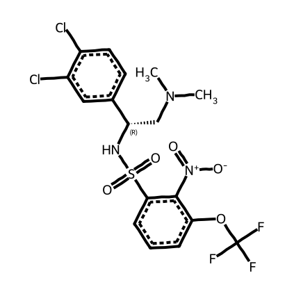 CN(C)C[C@H](NS(=O)(=O)c1cccc(OC(F)(F)F)c1[N+](=O)[O-])c1ccc(Cl)c(Cl)c1